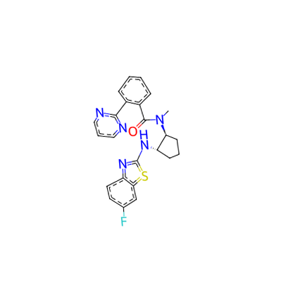 CN(C(=O)c1ccccc1-c1ncccn1)[C@H]1CCC[C@@H]1Nc1nc2ccc(F)cc2s1